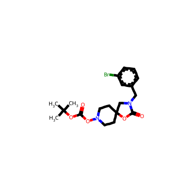 CC(C)(C)OC(=O)ON1CCC2(CC1)CN(Cc1cccc(Br)c1)C(=O)O2